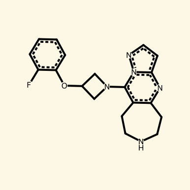 Fc1ccccc1OC1CN(c2c3c(nc4ccnn24)CCNCC3)C1